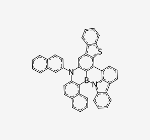 c1ccc2cc(N3c4cc5c(sc6ccccc65)c5c4B(c4c3ccc3ccccc43)n3c4ccccc4c4cccc-5c43)ccc2c1